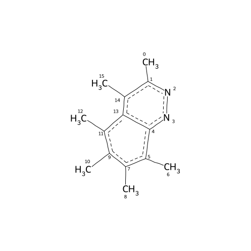 Cc1nnc2c(C)c(C)c(C)c(C)c2c1C